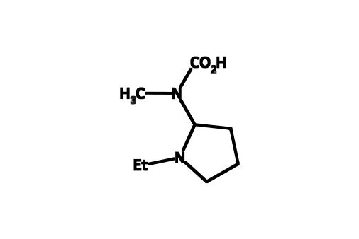 CCN1CCCC1N(C)C(=O)O